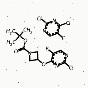 CC(C)(C)OC(=O)N1CC(Oc2nc(Cl)ncc2F)C1.Fc1cnc(Cl)nc1Cl